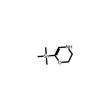 [CH3][Sn]([CH3])([CH3])[C]1=CNCCO1